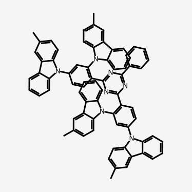 Cc1ccc2c(c1)c1ccccc1n2-c1ccc(-c2nc(-c3ccccc3)nc(-c3ccc(-n4c5ccccc5c5cc(C)ccc54)cc3-n3c4ccccc4c4cc(C)ccc43)n2)c(-n2c3ccccc3c3cc(C)ccc32)c1